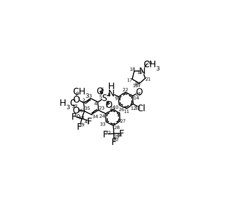 COC1=CC(S(=O)(=O)Nc2ccc(Cl)c(O[C@@H]3CCN(C)C3)c2)C(c2cccc(C(F)(F)F)c2)=CC1(OC)C(F)(F)F